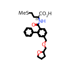 CSCC[C@H](NC(=O)c1ccc(COCC2CCCO2)cc1-c1ccccc1)C(=O)O